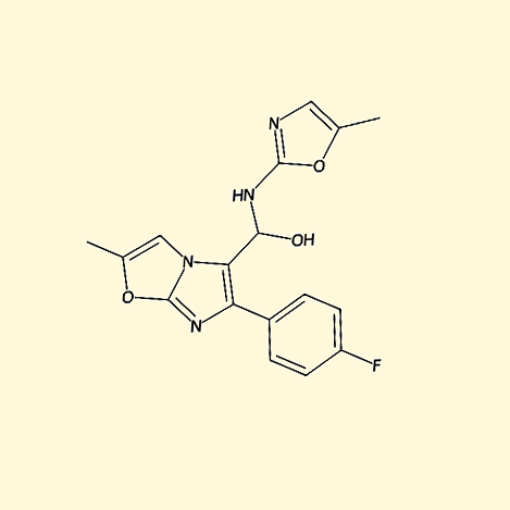 Cc1cnc(NC(O)c2c(-c3ccc(F)cc3)nc3oc(C)cn23)o1